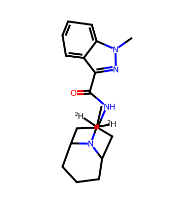 [2H]C([2H])(C)N1C2CCCC1CC(NC(=O)c1nn(C)c3ccccc13)C2